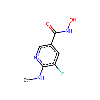 CCNc1ncc(C(=O)NO)cc1F